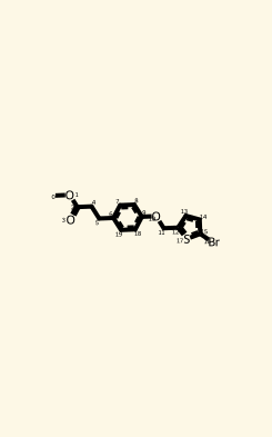 COC(=O)CCc1ccc(OCc2ccc(Br)s2)cc1